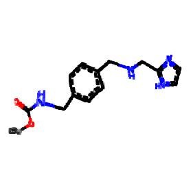 CC(C)(C)OC(=O)NCc1ccc(CNCc2ncc[nH]2)cc1